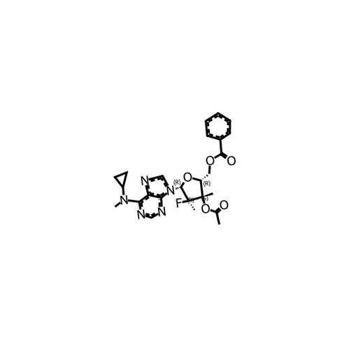 CC(=O)O[C@@]1(C)[C@@H](COC(=O)c2ccccc2)O[C@@H](n2cnc3c(N(C)C4CC4)ncnc32)[C@]1(C)F